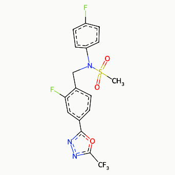 CS(=O)(=O)N(Cc1ccc(-c2nnc(C(F)(F)F)o2)cc1F)c1ccc(F)cc1